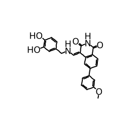 COc1cccc(-c2ccc3c(c2)C(=CNCc2ccc(O)c(O)c2)C(=O)NC3=O)c1